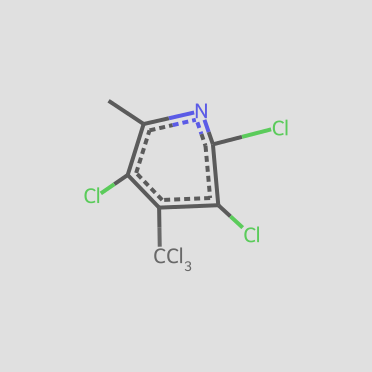 Cc1nc(Cl)c(Cl)c(C(Cl)(Cl)Cl)c1Cl